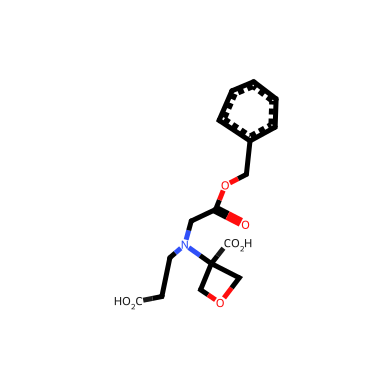 O=C(O)CCN(CC(=O)OCc1ccccc1)C1(C(=O)O)COC1